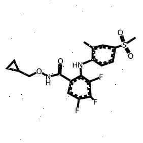 Cc1cc(S(C)(=O)=O)ccc1Nc1c(C(=O)NOCC2CC2)cc(F)c(F)c1F